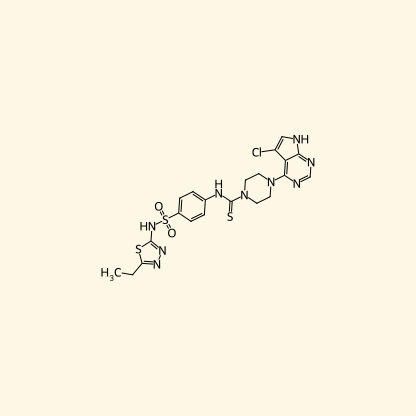 CCc1nnc(NS(=O)(=O)c2ccc(NC(=S)N3CCN(c4ncnc5[nH]cc(Cl)c45)CC3)cc2)s1